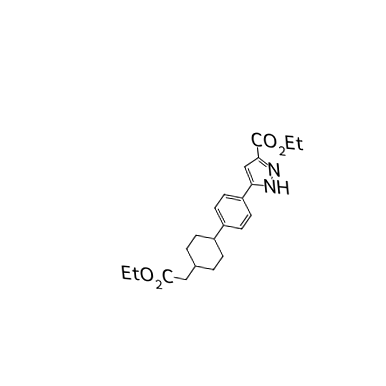 CCOC(=O)CC1CCC(c2ccc(-c3cc(C(=O)OCC)n[nH]3)cc2)CC1